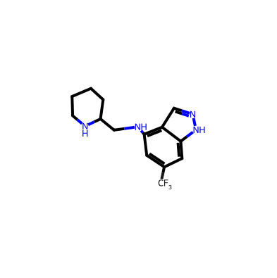 FC(F)(F)c1cc(NCC2CCCCN2)c2cn[nH]c2c1